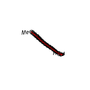 COCCOCCOCCOCCOCCOCCOCCOCCOCCOCCOCCOCCOCCOCCOCCOCCOCCOCCOCCOCCOCCOCCOCCOCCNC(=O)CNC(=O)C1CCC(CN2C(=O)C=CC2=O)CC1